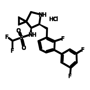 Cl.O=S(=O)(N[C@@H]1[C@H](Cc2cccc(-c3cc(F)cc(F)c3)c2F)NCC12CC2)C(F)F